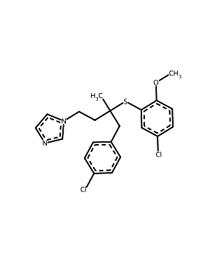 COc1ccc(Cl)cc1SC(C)(CCn1ccnc1)Cc1ccc(Cl)cc1